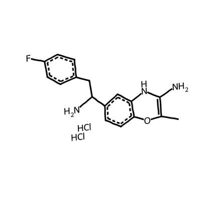 CC1=C(N)Nc2cc(C(N)Cc3ccc(F)cc3)ccc2O1.Cl.Cl